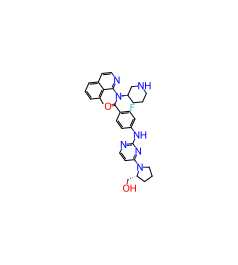 Cc1cccc2ccnc(N(C(=O)c3ccc(Nc4nccc(N5CCC[C@@H]5CO)n4)cc3F)[C@@H]3CCCNC3)c12